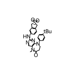 CN1C(=O)CCN(c2ccc(C(C)(C)C)cc2)c2nc(Nc3ccc4c(c3)CS(=O)(=O)C4)ncc21